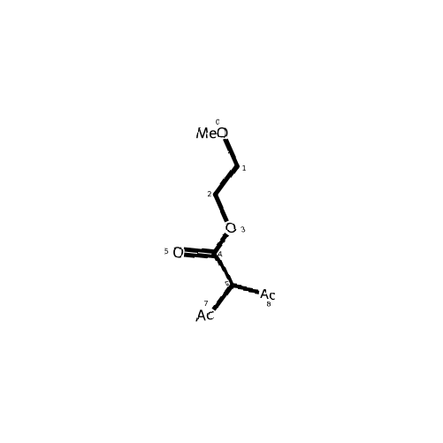 COCCOC(=O)C(C(C)=O)C(C)=O